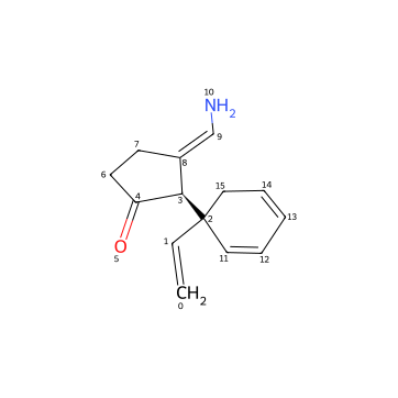 C=CC1([C@H]2C(=O)CCC2=CN)C=CC=CC1